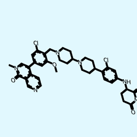 COc1cc(-c2cn(C)c(=O)c3cnccc23)cc(Cl)c1CN1CCC(N2CCC(c3ccc(NC4CCC(=O)NC4=O)cc3Cl)CC2)CC1